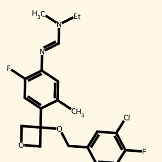 CCN(C)C=Nc1cc(C)c(C2(OCc3ccc(F)c(Cl)c3)COC2)cc1F